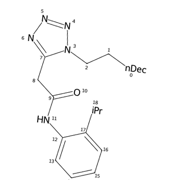 CCCCCCCCCCCCn1nnnc1CC(=O)Nc1ccccc1C(C)C